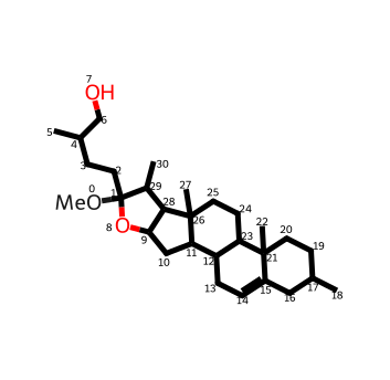 COC1(CCC(C)CO)OC2CC3C4CC=C5CC(C)CCC5(C)C4CCC3(C)C2C1C